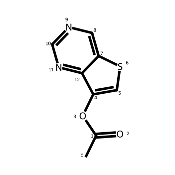 CC(=O)Oc1csc2cncnc12